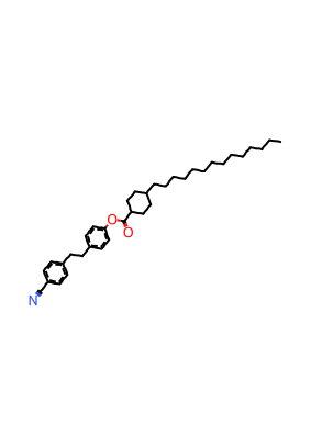 CCCCCCCCCCCCCCC1CCC(C(=O)Oc2ccc(CCc3ccc(C#N)cc3)cc2)CC1